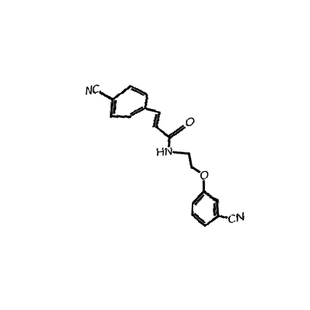 N#Cc1ccc(/C=C/C(=O)NCCOc2cccc(C#N)c2)cc1